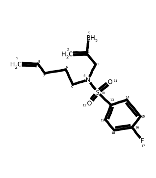 BC(=C)CN(CCCC=C)S(=O)(=O)c1ccc(F)cc1